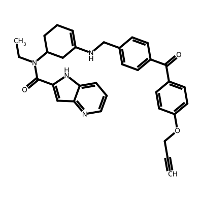 C#CCOc1ccc(C(=O)c2ccc(CNC3=CCCC(N(CC)C(=O)c4cc5ncccc5[nH]4)C3)cc2)cc1